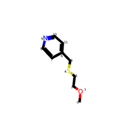 COCCSCc1ccncc1